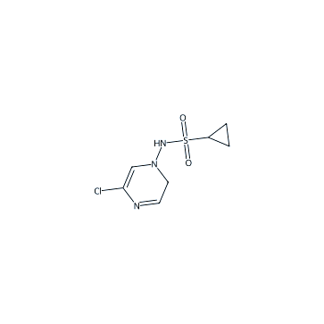 O=S(=O)(NN1C=C(Cl)N=CC1)C1CC1